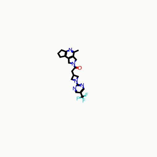 Cc1nc2c(c3c1CN(C(=O)CC1CN(c4ncc(C(F)(F)F)cn4)C1)C3)CCC2